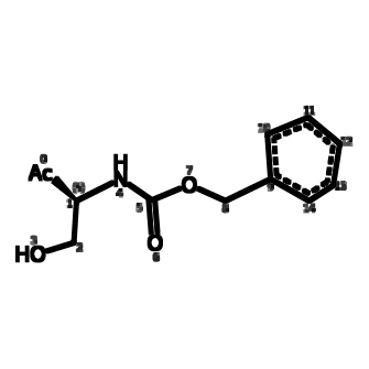 CC(=O)[C@H](CO)NC(=O)OCc1ccccc1